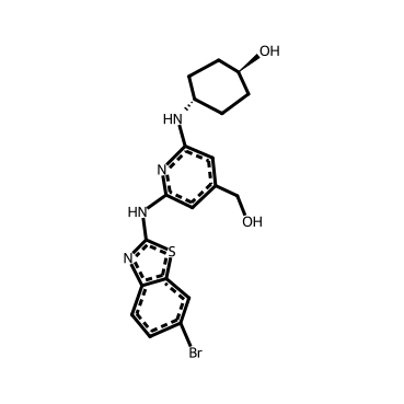 OCc1cc(Nc2nc3ccc(Br)cc3s2)nc(N[C@H]2CC[C@H](O)CC2)c1